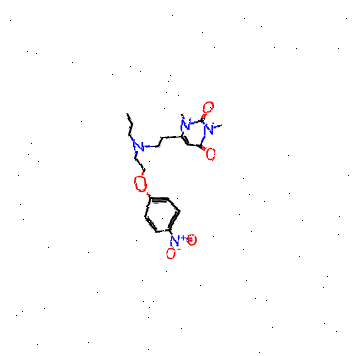 CCCN(CCOc1ccc([N+](=O)[O-])cc1)CCc1cc(=O)n(C)c(=O)n1C